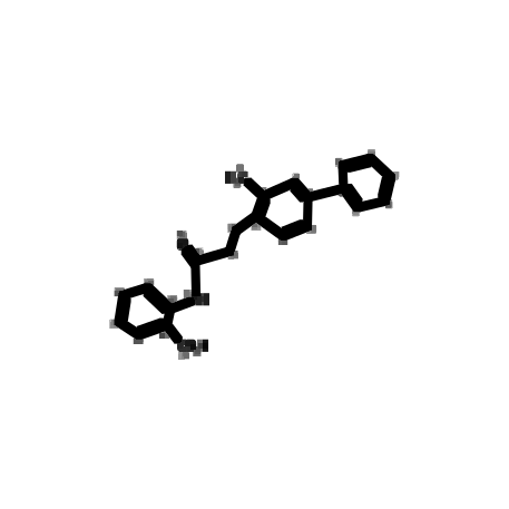 Cc1cc(-c2ccccc2)ccc1CCC(=O)Nc1ccccc1C(=O)O